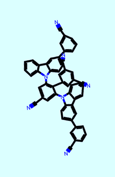 N#Cc1cccc(-c2ccc3c(c2)c2ccccc2n3-c2cc(C#N)cc(-n3c4ccccc4c4cc(-c5cccc(C#N)c5)ccc43)c2-c2cc(C#N)cc(C#N)c2)c1